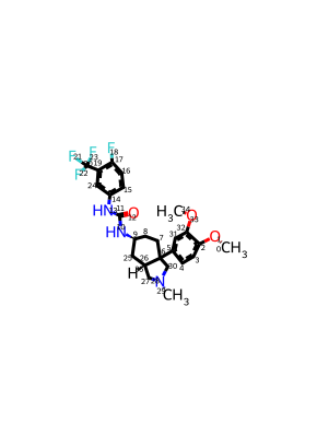 COc1ccc(C23CC[C@H](NC(=O)Nc4ccc(F)c(C(F)(F)F)c4)C[C@H]2CN(C)C3)cc1OC